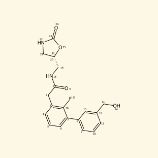 O=C(Cc1cccc(-c2cccc(CO)c2)c1F)NC[C@@H]1CNC(=O)O1